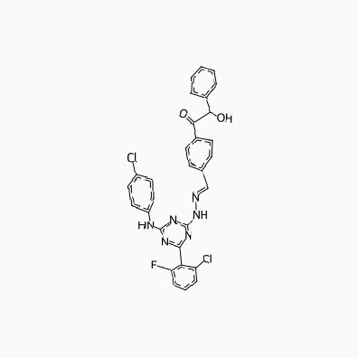 O=C(c1ccc(C=NNc2nc(Nc3ccc(Cl)cc3)nc(-c3c(F)cccc3Cl)n2)cc1)C(O)c1ccccc1